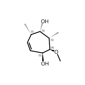 CO[C@@H]1[C@@H](C)[C@@H](O)[C@@H](C)C=C[C@@H]1O